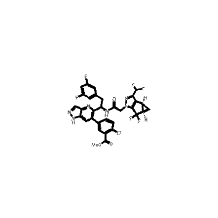 COC(=O)c1cc(-c2cc3[nH]ncc3nc2C(Cc2cc(F)cc(F)c2)NC(=O)Cn2nc(C(F)F)c3c2C(F)(F)[C@@H]2C[C@H]32)ccc1Cl